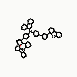 c1cc(-c2ccc(N(c3ccc(-c4ccccc4-c4ccccc4-n4c5ccccc5c5ccccc54)cc3)c3cc4ccccc4c4ccccc34)cc2)cc(-c2cccc3c2oc2ccccc23)c1